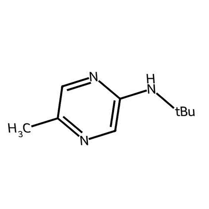 Cc1cnc(NC(C)(C)C)cn1